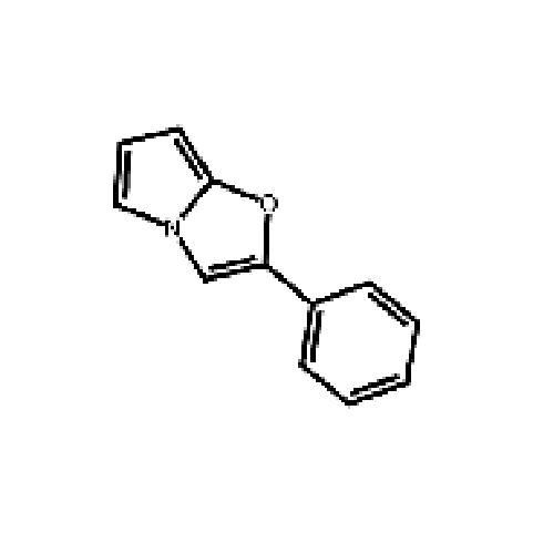 c1ccc(-c2cn3cccc3o2)cc1